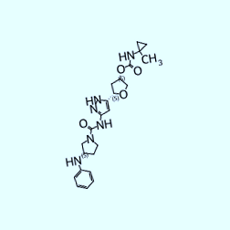 CC1(NC(=O)O[C@@H]2CO[C@H](c3cc(NC(=O)N4CC[C@H](Nc5ccccc5)C4)n[nH]3)C2)CC1